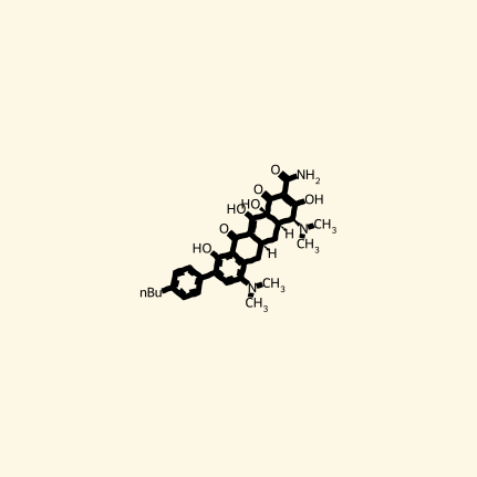 CCCCc1ccc(-c2cc(N(C)C)c3c(c2O)C(=O)C2=C(O)[C@]4(O)C(=O)C(C(N)=O)=C(O)[C@@H](N(C)C)[C@H]4C[C@H]2C3)cc1